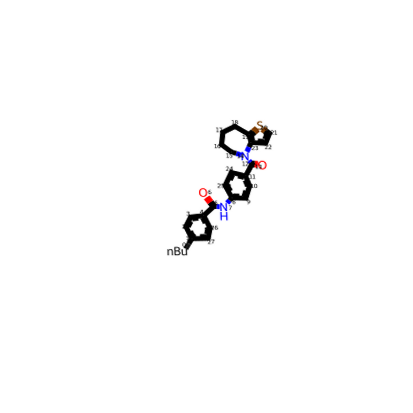 CCCCc1ccc(C(=O)Nc2ccc(C(=O)N3CCCCc4sccc43)cc2)cc1